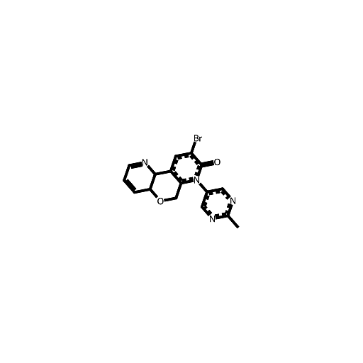 Cc1ncc(-n2c3c(cc(Br)c2=O)C2N=CC=CC2OC3)cn1